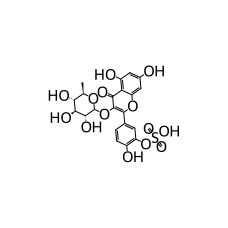 C[C@H]1OC(Oc2c(-c3ccc(O)c(OS(=O)(=O)O)c3)oc3cc(O)cc(O)c3c2=O)[C@H](O)[C@@H](O)[C@@H]1O